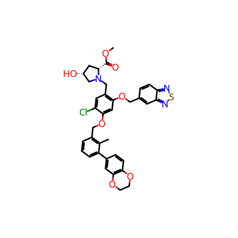 COC(=O)[C@H]1C[C@@H](O)CN1Cc1cc(Cl)c(OCc2cccc(-c3ccc4c(c3)OCCO4)c2C)cc1OCc1ccc2nsnc2c1